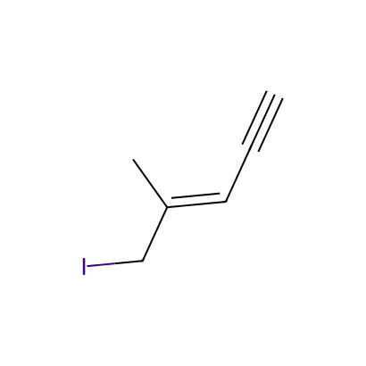 C#C/C=C(\C)CI